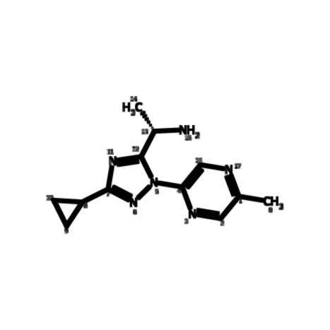 Cc1cnc(-n2nc(C3CC3)nc2[C@H](C)N)cn1